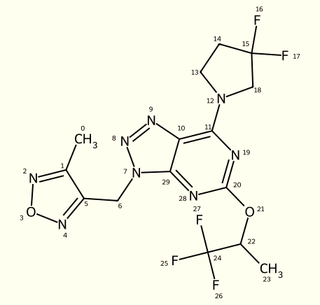 Cc1nonc1Cn1nnc2c(N3CCC(F)(F)C3)nc(OC(C)C(F)(F)F)nc21